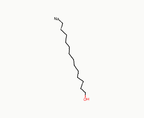 OCCCCCCCCCCCC[CH2][Na]